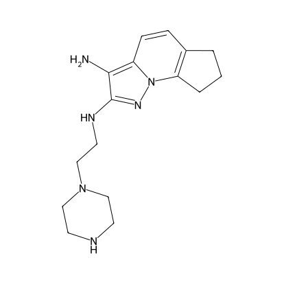 Nc1c(NCCN2CCNCC2)nn2c3c(ccc12)CCC3